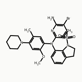 COc1cc(N2CCCCC2)c(C)cc1N(c1ncc(Br)c(N)n1)c1cccc2c1N(S(C)(=O)=O)CC2